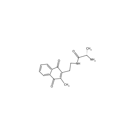 CC1=C(CCNC(=O)[C@H](C)N)C(=O)c2ccccc2C1=O